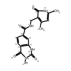 Cc1cc(C)c(CNC(=O)c2ccc3c(=O)n(C(C)C)c(=O)[nH]c3c2)c(=O)[nH]1